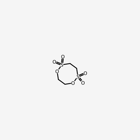 O=S1(=O)CCS(=O)(=O)OCCO1